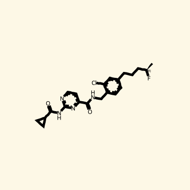 C[C@@H](F)CCCc1ccc(CNC(=O)c2ccnc(NC(=O)C3CC3)n2)c(Cl)c1